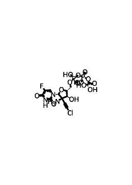 NC1(C#CCl)[C@@H](O)[C@@H](COP(=O)(O)OP(=O)(O)OP(=O)(O)O)O[C@H]1n1cc(F)c(=O)[nH]c1=O